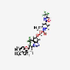 CC1C=C(c2nc(C(F)(F)F)co2)CCN1C(=O)OCOc1cc(C(F)(F)F)c2c(c1)ncn2C1CC(C)(O[Si](C)(C)C(C)(C)C)C1